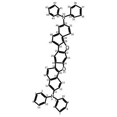 c1ccc(N(c2ccccc2)c2ccc3c(ccc4c5cc6c(cc5oc34)oc3c4ccc(N(c5ccccc5)c5ccccc5)cc4ccc63)c2)cc1